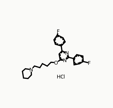 Cl.Fc1ccc(-c2cc(OCCCCCN3CCCCC3)nc(-c3ccc(F)cc3)n2)cc1